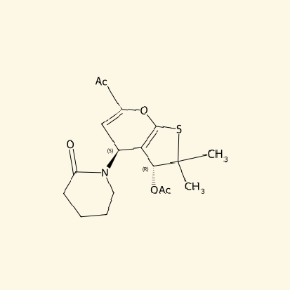 CC(=O)O[C@@H]1C2=C(OC(C(C)=O)=C[C@@H]2N2CCCCC2=O)SC1(C)C